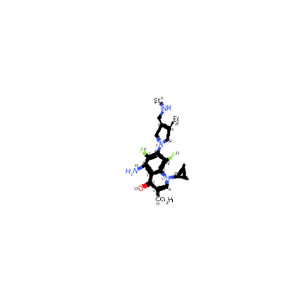 CCNC[C@@H]1CN(c2c(F)c(N)c3c(=O)c(C(=O)O)cn(C4CC4)c3c2F)C[C@@H]1CC